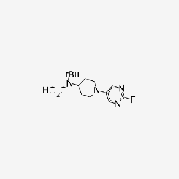 CC(C)(C)N(C(=O)O)C1CCN(c2cnc(F)nc2)CC1